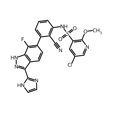 COc1ncc(Cl)cc1S(=O)(=O)Nc1cccc(-c2ccc3c(-c4ncc[nH]4)n[nH]c3c2F)c1C#N